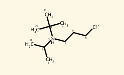 CC(C)[SiH](CCCCl)C(C)(C)C